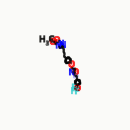 COC(=O)Cn1cc(CCCCc2ccc(OCc3coc(/C=C/c4ccc(OC(F)(F)F)cc4)n3)cc2)nn1